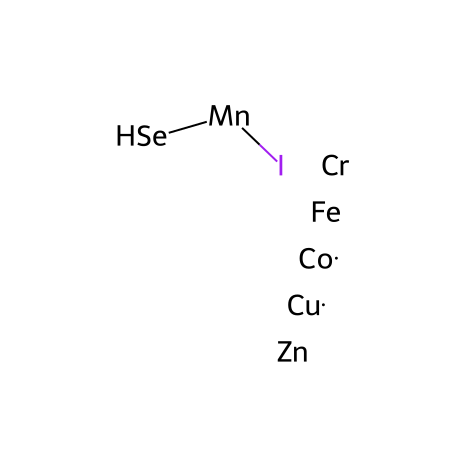 [Co].[Cr].[Cu].[Fe].[SeH][Mn][I].[Zn]